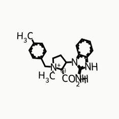 Cc1ccc(C[N+]2(C)CCC(n3c(=N)[nH]c4ccccc43)[C@H]2C(=O)O)cc1